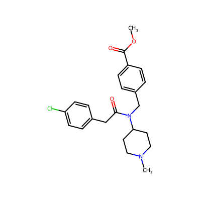 COC(=O)c1ccc(CN(C(=O)Cc2ccc(Cl)cc2)C2CCN(C)CC2)cc1